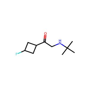 CC(C)(C)NCC(=O)C1CC(F)C1